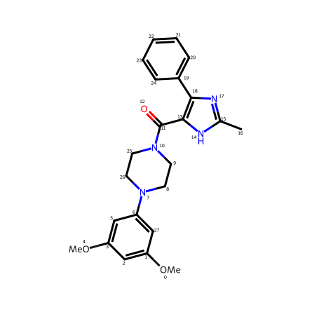 COc1cc(OC)cc(N2CCN(C(=O)c3[nH]c(C)nc3-c3ccccc3)CC2)c1